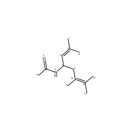 CC(=O)NC(C=C(C)C)CC(C)=C(C)C